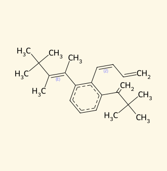 C=C/C=C\c1c(C(=C)C(C)(C)C)cccc1/C(C)=C(\C)C(C)(C)C